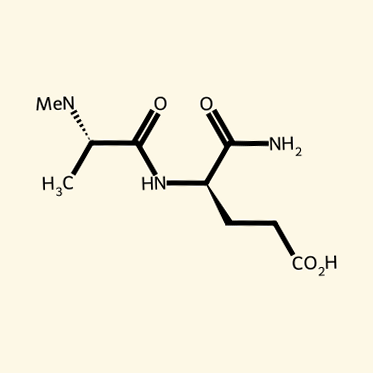 CN[C@@H](C)C(=O)N[C@H](CCC(=O)O)C(N)=O